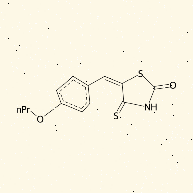 CCCOc1ccc(C=C2SC(=O)NC2=S)cc1